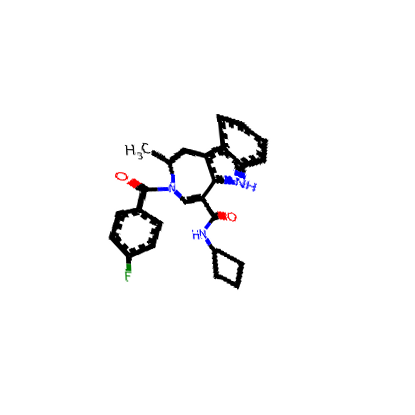 CC1Cc2c([nH]c3ccccc23)C(C(=O)NC2CCC2)=CN1C(=O)c1ccc(F)cc1